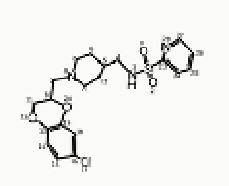 O=S(=O)(NCC1CCN(CC2COc3ccc(Cl)cc3O2)CC1)c1ccccn1